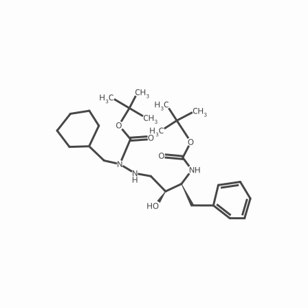 CC(C)(C)OC(=O)N[C@@H](Cc1ccccc1)[C@@H](O)CNN(CC1CCCCC1)C(=O)OC(C)(C)C